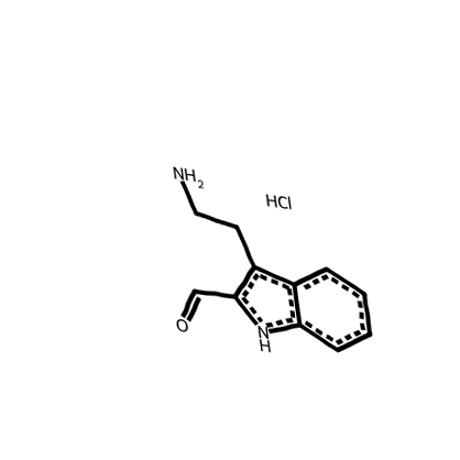 Cl.NCCc1c(C=O)[nH]c2ccccc12